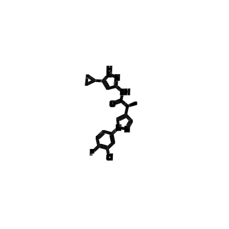 C[C@H](C(=O)Nc1cc(C2CC2)[nH]n1)c1cnn(-c2ccc(F)c(Cl)c2)c1